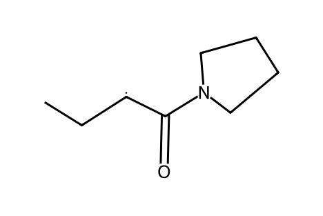 CC[CH]C(=O)N1CCCC1